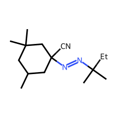 CCC(C)(C)/N=N/C1(C#N)CC(C)CC(C)(C)C1